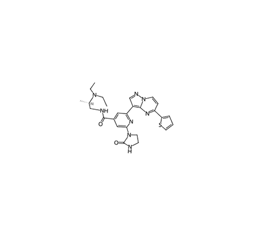 CCN(CC)[C@@H](C)CNC(=O)c1cc(-c2cnn3ccc(-c4cccs4)nc23)nc(N2CCNC2=O)c1